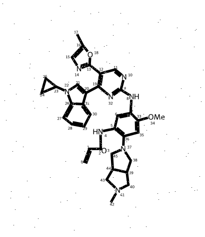 C=CC(=O)Nc1cc(Nc2ncc(-c3ncc(C)o3)c(-c3cn(C4CC4)c4ccccc34)n2)c(OC)cc1N1CC2CN(C)CC2C1